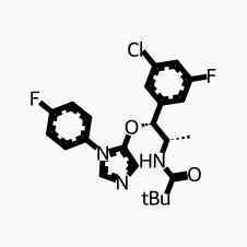 C[C@H](NC(=O)C(C)(C)C)[C@H](Oc1cncn1-c1ccc(F)cc1)c1cc(F)cc(Cl)c1